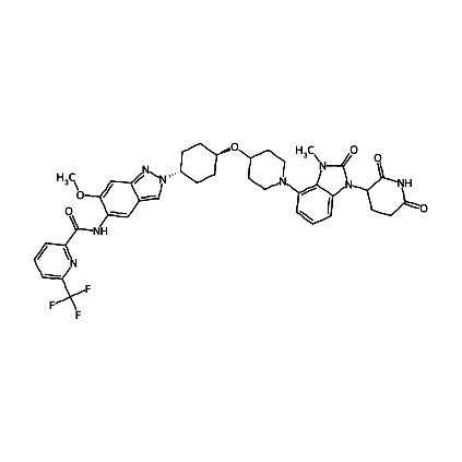 COc1cc2nn([C@H]3CC[C@H](OC4CCN(c5cccc6c5n(C)c(=O)n6C5CCC(=O)NC5=O)CC4)CC3)cc2cc1NC(=O)c1cccc(C(F)(F)F)n1